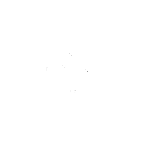 CCCCC1N(C)C=NN1CC